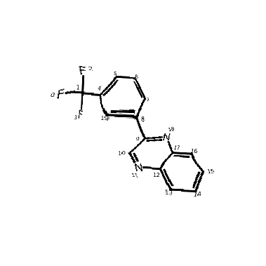 FC(F)(F)c1cccc(-c2cnc3ccccc3n2)c1